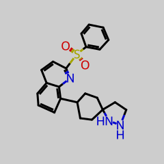 O=S(=O)(c1ccccc1)c1ccc2cccc(C3CCC4(CCNN4)CC3)c2n1